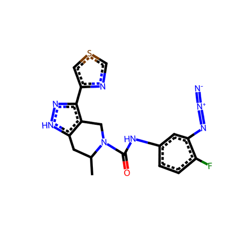 CC1Cc2[nH]nc(-c3cscn3)c2CN1C(=O)Nc1ccc(F)c(N=[N+]=[N-])c1